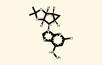 CCCNc1cc(Cl)nc2c1ncn2[C@@H]1[C@H]2C[C@H]2[C@H]2OC(C)(C)O[C@H]21